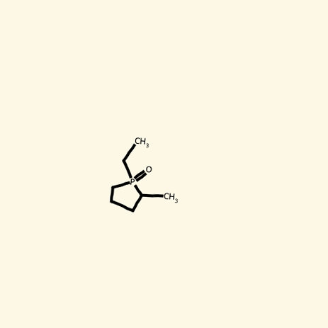 CCP1(=O)CCCC1C